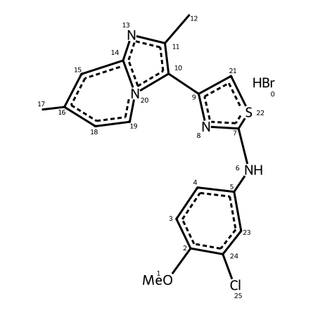 Br.COc1ccc(Nc2nc(-c3c(C)nc4cc(C)ccn34)cs2)cc1Cl